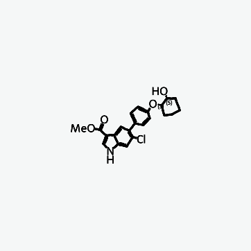 COC(=O)c1c[nH]c2cc(Cl)c(-c3ccc(O[C@H]4CCCC[C@@H]4O)cc3)cc12